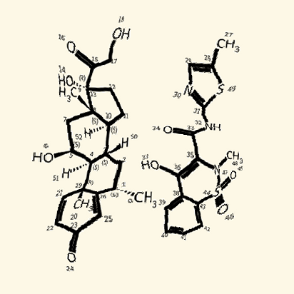 C[C@H]1C[C@@H]2[C@H]([C@@H](O)C[C@@]3(C)[C@H]2CC[C@]3(O)C(=O)CO)[C@@]2(C)C=CC(=O)C=C12.Cc1cnc(NC(=O)C2=C(O)c3ccccc3S(=O)(=O)N2C)s1